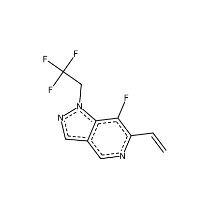 C=Cc1ncc2cnn(CC(F)(F)F)c2c1F